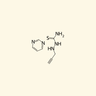 C#CCNNC(N)=S.c1cncnc1